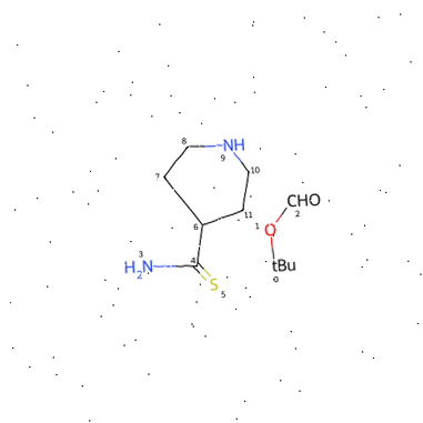 CC(C)(C)OC=O.NC(=S)C1CCNCC1